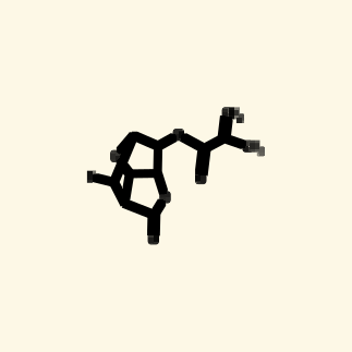 C=C(C)C(=O)OC1C2OC3C1OC(=O)C3C2F